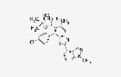 Cc1cc2nc(-c3cccc4c3cnn4C)sc2c(-c2ccc(Cl)cc2)c1[C@H](OC(C)(C)C)C(=O)O